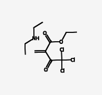 C=C(C(=O)OCC)C(=O)C(Cl)(Cl)Cl.CCNCC